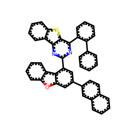 c1ccc(-c2ccccc2-c2nc(-c3cc(-c4ccc5ccccc5c4)cc4oc5ccccc5c34)nc3c2sc2ccccc23)cc1